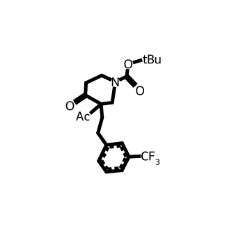 CC(=O)C1(CCc2cccc(C(F)(F)F)c2)CN(C(=O)OC(C)(C)C)CCC1=O